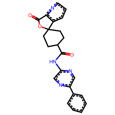 O=C1OC2(CCC(C(=O)Nc3cnc(-c4ccccc4)cn3)CC2)c2cccnc21